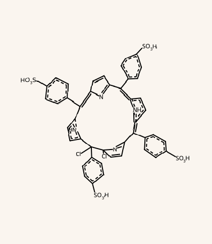 O=S(=O)(O)c1ccc(C2=C3C=CC(=N3)C(c3ccc(S(=O)(=O)O)cc3)=c3ccc([nH]3)=C(c3ccc(S(=O)(=O)O)cc3)C3=NC(Cl)(C=C3)C(Cl)(c3ccc(S(=O)(=O)O)cc3)c3ccc2[nH]3)cc1